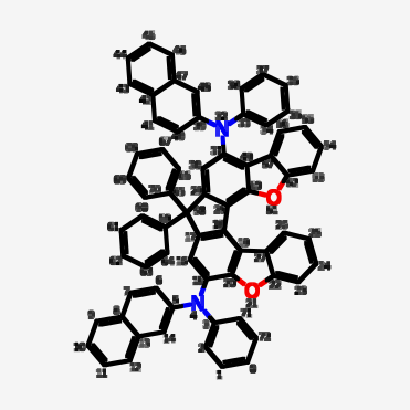 c1ccc(N(c2ccc3ccccc3c2)c2cc3c(c4c2oc2ccccc24)-c2c(cc(N(c4ccccc4)c4ccc5ccccc5c4)c4c2oc2ccccc24)C3(c2ccccc2)c2ccccc2)cc1